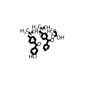 C=CC(=O)O.CN(C)Cc1ccc(C(=O)c2ccccc2)cc1.CN(C)Cc1ccc(C(=O)c2ccccc2)cc1.Cl